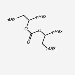 CCCCCCCCCCCC(CCCCCC)OC(=O)OC(CCCCCC)CCCCCCCCCCC